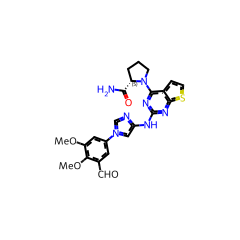 COc1cc(-n2cnc(Nc3nc(N4CCC[C@H]4C(N)=O)c4ccsc4n3)c2)cc(C=O)c1OC